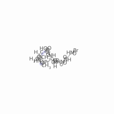 CC(/C=C/[C@H]1O[C@H](CC(=O)NCc2ccc(S(=O)(=O)NC(=O)CCc3ccccc3NC(=O)CNC(=O)CCCCCNC(=O)CBr)cc2)C[C@@]2(CO2)[C@@H]1O)=C\C[C@@H]1O[C@H](C)[C@H](NC(=O)/C=C\[C@H](C)OC(C)C)C[C@@H]1C